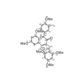 COc1cc(OC)cc(C(C(=O)O)=C(Cc2c(OC)cc(OC)cc2OC)C(=O)C(=O)c2ccc(OC)c(C)c2)c1